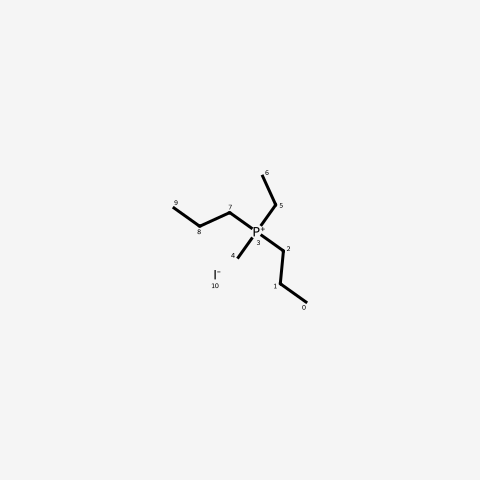 CCC[P+](C)(CC)CCC.[I-]